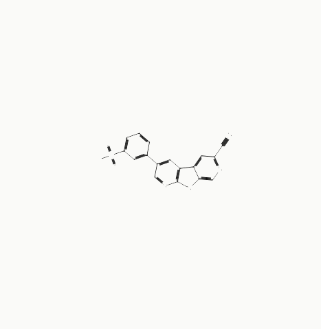 CS(=O)(=O)c1cccc(-c2cnc3[nH]c4cnc(C#N)cc4c3c2)c1